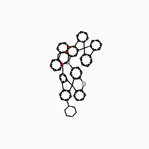 c1ccc(-c2ccccc2N(c2ccc3c(c2)C2(c4ccccc4O3)c3cc(C4CCCCC4)ccc3-c3ccc(C4CCCCC4)cc32)c2ccc3c(c2)C2(c4ccccc4-c4ccccc42)c2ccccc2-3)cc1